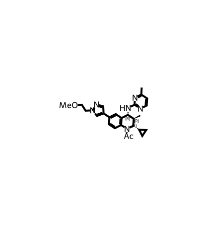 COCCn1cc(-c2ccc3c(c2)[C@H](Nc2nccc(C)n2)[C@@H](C)[C@H](C2CC2)N3C(C)=O)cn1